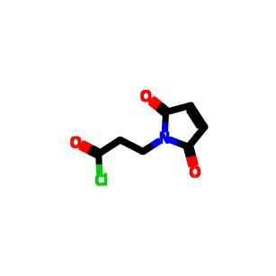 O=C(Cl)CCN1C(=O)C=CC1=O